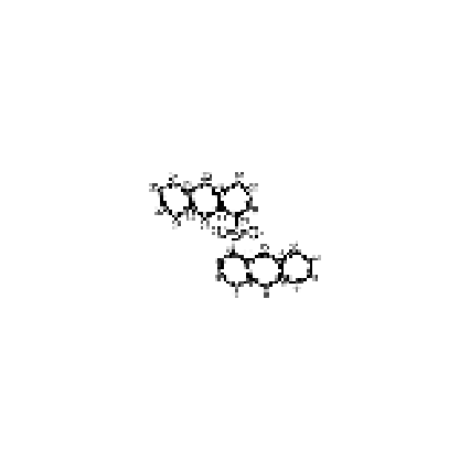 O=S(=O)(c1cccc2cc3ccccc3cc12)c1cccc2cc3ccccc3cc12